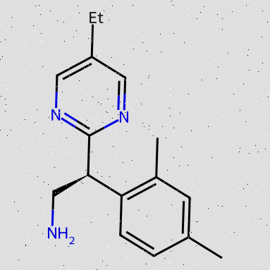 CCc1cnc([C@H](CN)c2ccc(C)cc2C)nc1